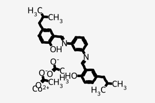 CC(=O)[O-].CC(=O)[O-].CC(C)Cc1ccc(O)c(C=Nc2cccc(N=Cc3cc(CC(C)C)ccc3O)c2)c1.[Co+2]